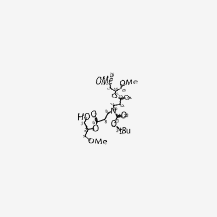 COCC(CO)OC(=O)CCN(CCC(=O)OC(COC)COC)C(=O)OC(C)(C)C